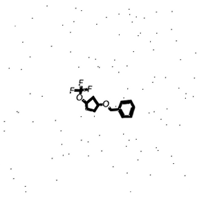 FC(F)(F)OC1CCC(OCc2ccccc2)C1